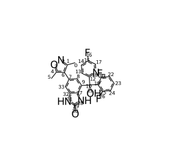 Cc1noc(C)c1-c1cc(C(O)(c2ccc(F)cn2)c2c(F)cccc2F)c2[nH]c(=O)[nH]c2c1